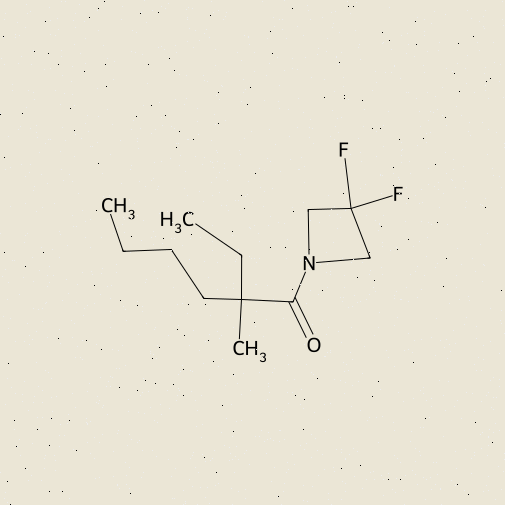 CCCCC(C)(CC)C(=O)N1CC(F)(F)C1